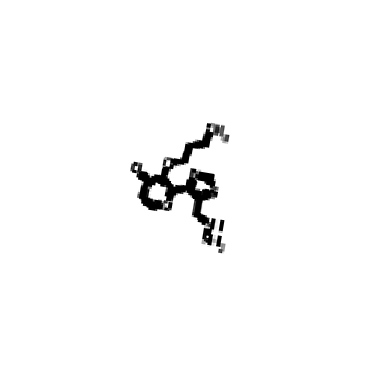 CCCCOc1c(-c2ncsc2CNN)occc1=O